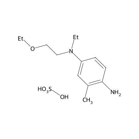 CCOCCN(CC)c1ccc(N)c(C)c1.O=S(=O)(O)O